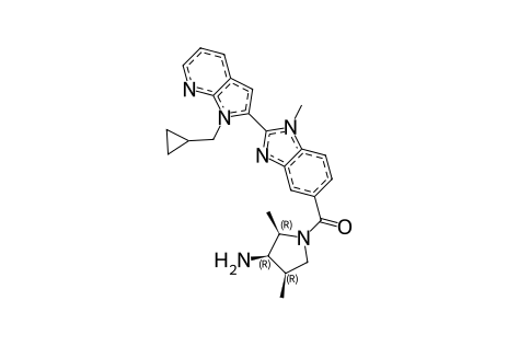 C[C@@H]1CN(C(=O)c2ccc3c(c2)nc(-c2cc4cccnc4n2CC2CC2)n3C)[C@H](C)[C@@H]1N